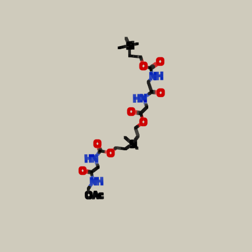 CC(=O)OCNC(=O)CNC(=O)OCC[Si](C)(C)CCOC(=O)CNC(=O)CNC(=O)OCC[Si](C)(C)C